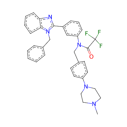 CN1CCN(c2ccc(CN(C(=O)C(F)(F)F)c3cccc(-c4nc5ccccc5n4Cc4ccccc4)c3)cc2)CC1